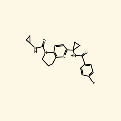 O=C(NC1(c2ccc3c(n2)CCCN3C(=O)NC2CC2)CC1)c1ccc(F)cc1